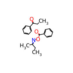 CCC(=O)c1ccccc1.CCC(C)=NOC(=O)c1ccccc1